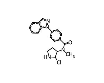 CN(C(=O)c1ccc(-n2ncc3ccccc32)cc1)C1CCNC1Cl